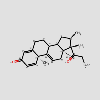 CC(=O)OCC(=O)[C@@]1(C)[C@H](C)CC2C3CCC4=CC(=O)C=C[C@]4(C)C3=CC[C@@]21C